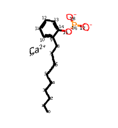 CCCCCCCCCc1ccccc1OP([O-])[O-].[Ca+2]